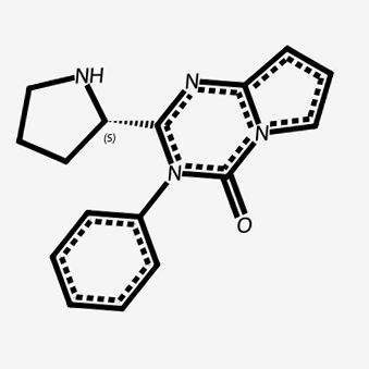 O=c1n(-c2ccccc2)c([C@@H]2CCCN2)nc2cccn12